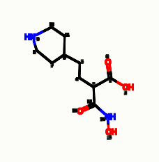 O=C(O)C(CCC1CCNCC1)C(=O)NO